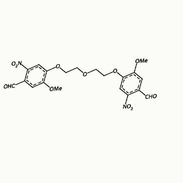 COc1cc(C=O)c([N+](=O)[O-])cc1OCCOCCOc1cc([N+](=O)[O-])c(C=O)cc1OC